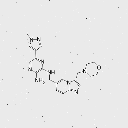 Cn1cc(-c2cnc(N)c(NCc3ccc4ncc(CN5CCOCC5)n4c3)n2)cn1